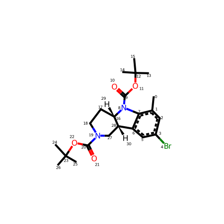 Cc1cc(Br)cc2c1N(C(=O)OC(C)(C)C)[C@H]1CCN(C(=O)OC(C)(C)C)C[C@@H]21